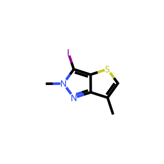 Cc1csc2c(I)n(C)nc12